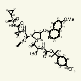 C=C[C@@H]1C[C@]1(NC(=O)[C@@H]1CC(Oc2nccc3cc(OC)ccc23)CN1C(=O)[C@@H](NC(=O)OC(C)(C)c1ccc(C(F)(F)F)cc1)C(C)(C)C)C(=O)NS(=O)(=O)C1CC1